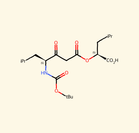 CC(C)C[C@H](NC(=O)OC(C)(C)C)C(=O)CC(=O)O[C@@H](CC(C)C)C(=O)O